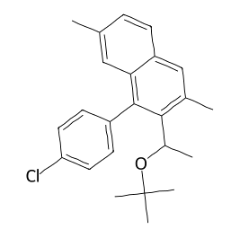 Cc1ccc2cc(C)c(C(C)OC(C)(C)C)c(-c3ccc(Cl)cc3)c2c1